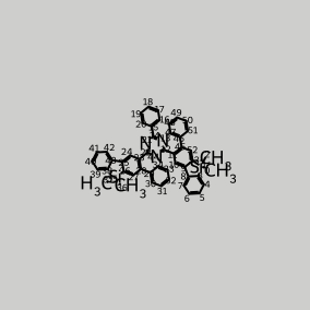 C[Si]1(C)c2ccccc2-c2cc(-c3nc(-c4ccccc4)nc(-c4cc5c(cc4-c4ccccc4)[Si](C)(C)c4ccccc4-5)n3)c(-c3ccccc3)cc21